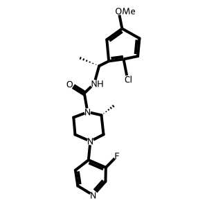 COc1ccc(Cl)c([C@@H](C)NC(=O)N2CCN(c3ccncc3F)C[C@H]2C)c1